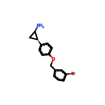 N[C@@H]1C[C@H]1c1ccc(OCc2cccc(Br)c2)cc1